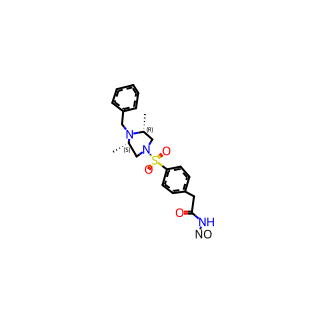 C[C@@H]1CN(S(=O)(=O)c2ccc(CC(=O)NN=O)cc2)C[C@H](C)N1Cc1ccccc1